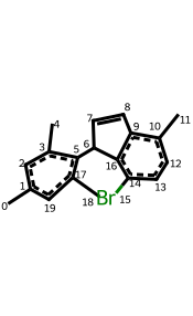 Cc1cc(C)c(C2C=Cc3c(C)ccc(Br)c32)c(C)c1